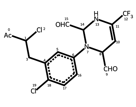 CC(=O)C(Cl)Cc1cc(N2C(C=O)C=C(C(F)(F)F)NC2C=O)ccc1Cl